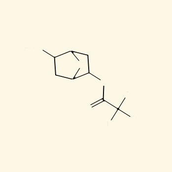 O=C(O)C1CC2OC1CC2OC(=O)C(F)(F)S(=O)(=O)O